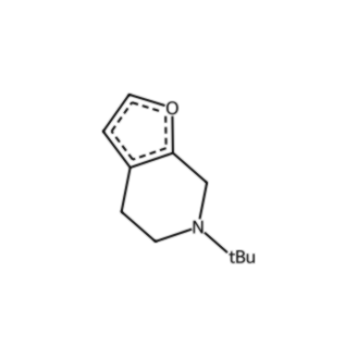 CC(C)(C)N1CCc2ccoc2C1